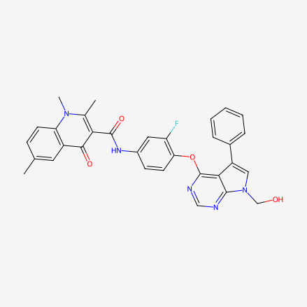 Cc1ccc2c(c1)c(=O)c(C(=O)Nc1ccc(Oc3ncnc4c3c(-c3ccccc3)cn4CO)c(F)c1)c(C)n2C